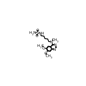 COc1cc2ncnc(N(C)CCCCCNS(N)(=O)=O)c2cc1OC